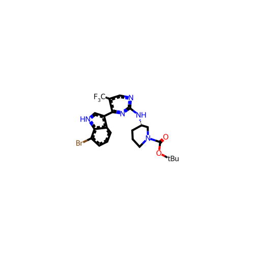 CC(C)(C)OC(=O)N1CCC[C@H](Nc2ncc(C(F)(F)F)c(-c3c[nH]c4c(Br)cccc34)n2)C1